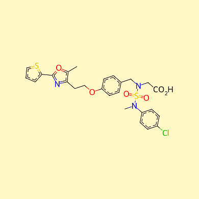 Cc1oc(-c2cccs2)nc1CCOc1ccc(CN(CC(=O)O)S(=O)(=O)N(C)c2ccc(Cl)cc2)cc1